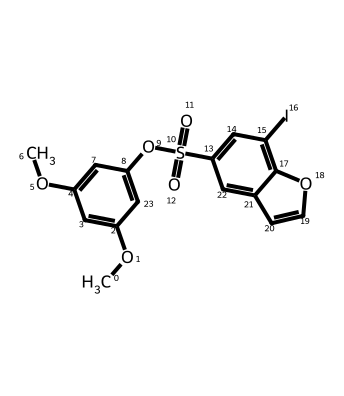 COc1cc(OC)cc(OS(=O)(=O)c2cc(I)c3occc3c2)c1